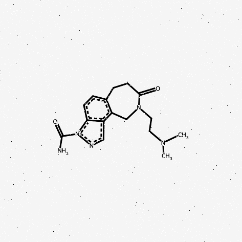 CN(C)CCN1Cc2c(ccc3c2cnn3C(N)=O)C[CH]C1=O